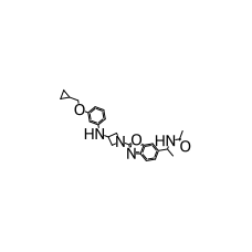 CC(=O)NC(C)c1ccc2nc(N3CC(Nc4cccc(OCC5CC5)c4)C3)oc2c1